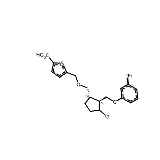 CC(C)c1cccc(OC[C@H]2C(Cl)CC[C@@H]2COCc2ccc(C(=O)O)s2)c1